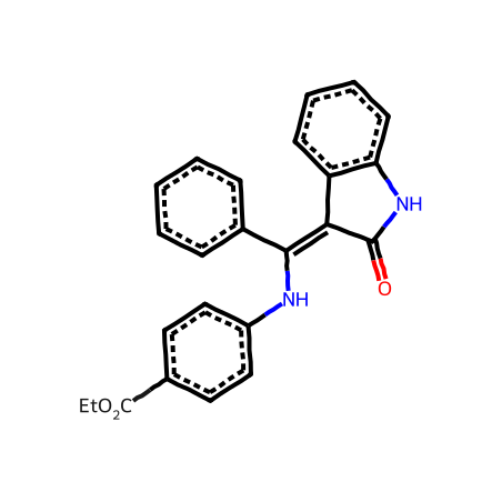 CCOC(=O)c1ccc(N/C(=C2\C(=O)Nc3ccccc32)c2ccccc2)cc1